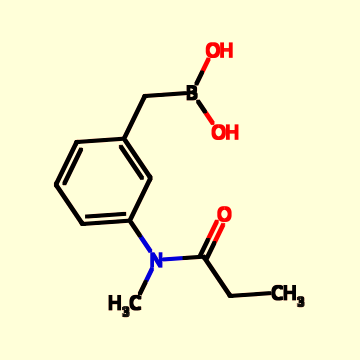 CCC(=O)N(C)c1cccc(CB(O)O)c1